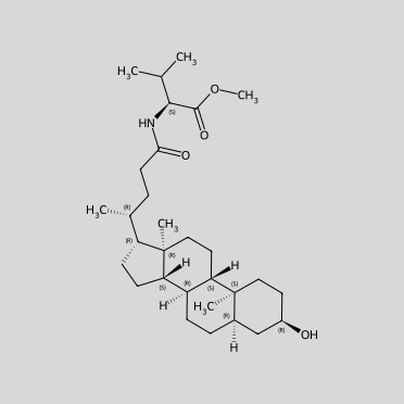 COC(=O)[C@@H](NC(=O)CC[C@@H](C)[C@H]1CC[C@H]2[C@@H]3CC[C@@H]4C[C@H](O)CC[C@]4(C)[C@H]3CC[C@]12C)C(C)C